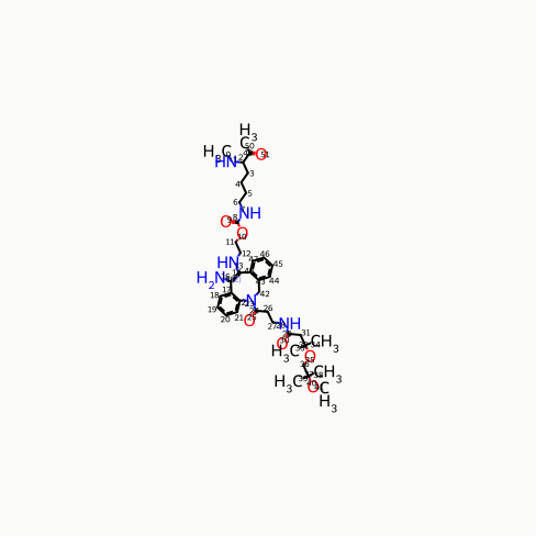 CNC(CCCCNC(=O)OCCN/C1=C(\N)c2ccccc2N(C(=O)CCNC(=O)CC(C)(C)OCC(C)(C)OC)Cc2ccccc21)C(C)=O